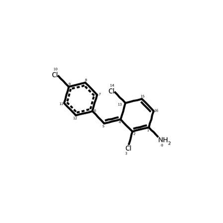 NC1=C(Cl)C(=Cc2ccc(Cl)cc2)C(Cl)C=C1